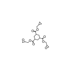 O=C(OCC1CC1)C1CC(C(=O)OCC2CO2)CC(C(=O)OCC2CO2)C1